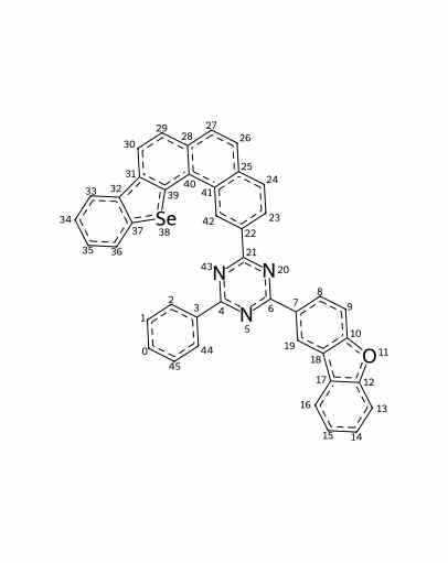 c1ccc(-c2nc(-c3ccc4oc5ccccc5c4c3)nc(-c3ccc4ccc5ccc6c7ccccc7[se]c6c5c4c3)n2)cc1